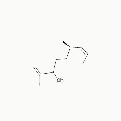 C=C(C)C(O)CC[C@@H](C)/C=C\C